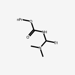 CCCOC(=O)NC(CC)N(C)C